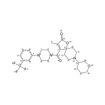 CC1=C(C(=O)N2CCN(c3cccc(C(F)(F)F)c3)CC2)C2(CCN(C3CCCOC3)CC2)OC1=O